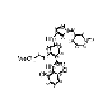 COCCOc1nc(Nc2cnn(C[C@@H]3CCCN(C)C3)c2)ncc1C(=O)Nc1c(Cl)cccc1Cl